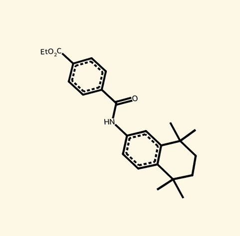 CCOC(=O)c1ccc(C(=O)Nc2ccc3c(c2)C(C)(C)CCC3(C)C)cc1